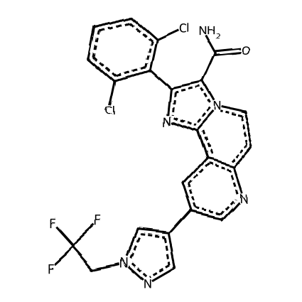 NC(=O)c1c(-c2c(Cl)cccc2Cl)nc2c3cc(-c4cnn(CC(F)(F)F)c4)cnc3ccn12